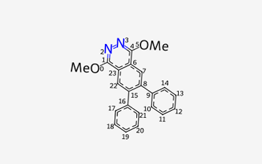 COc1nnc(OC)c2cc(-c3ccccc3)c(-c3ccccc3)cc12